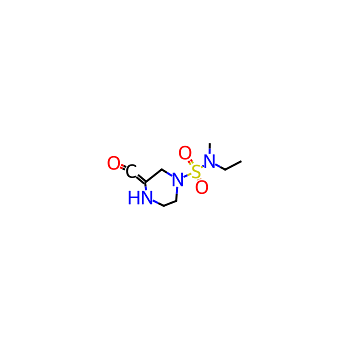 CCN(C)S(=O)(=O)N1CCNC(=C=O)C1